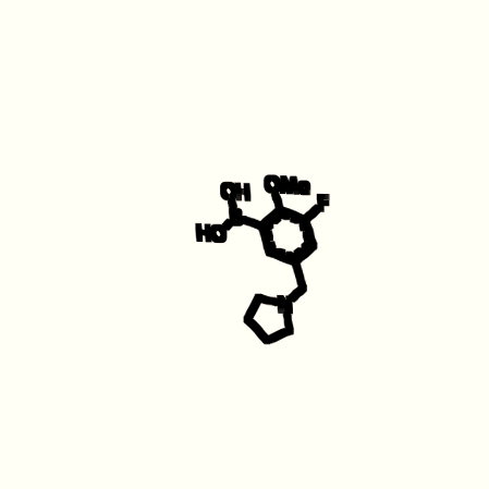 COc1c(F)cc(CN2CCCC2)cc1B(O)O